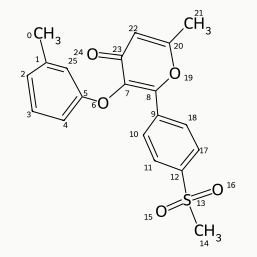 Cc1cccc(Oc2c(-c3ccc(S(C)(=O)=O)cc3)oc(C)cc2=O)c1